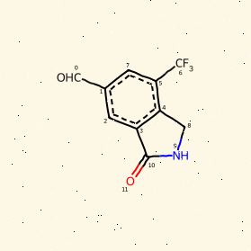 O=Cc1cc2c(c(C(F)(F)F)c1)CNC2=O